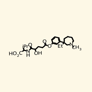 CCC1(c2cccc(OC(=O)CCC(O)C(=O)NC(C(=O)O)C(C)C)c2)CCCCN(C)C1